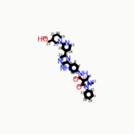 Cc1c(C(=O)Nc2ccc(-c3nc(-c4ccnc(N5CCCC(CO)C5)c4)cnc3N)cc2)c(=O)n(-c2ccccc2)n1C